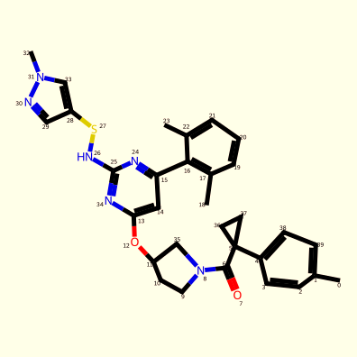 Cc1ccc(C2(C(=O)N3CCC(Oc4cc(-c5c(C)cccc5C)nc(NSc5cnn(C)c5)n4)C3)CC2)cc1